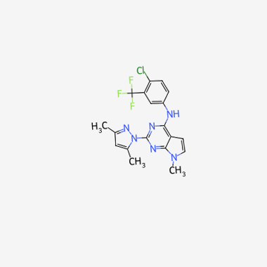 Cc1cc(C)n(-c2nc(Nc3ccc(Cl)c(C(F)(F)F)c3)c3ccn(C)c3n2)n1